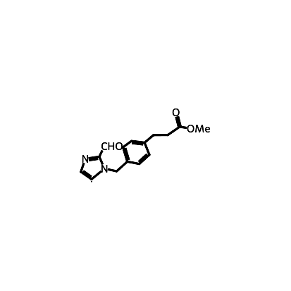 COC(=O)CCc1ccc(Cn2[c]cnc2C=O)cc1